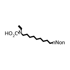 C=CN(CCCCCCCCCCCCCCCCCC)C(=O)O